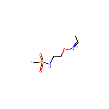 C/C=N\OCCNS(=O)(=O)CC